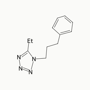 [CH2]Cc1nnnn1CCCc1ccccc1